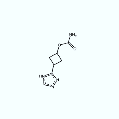 NC(=O)OC1CC(c2nnc[nH]2)C1